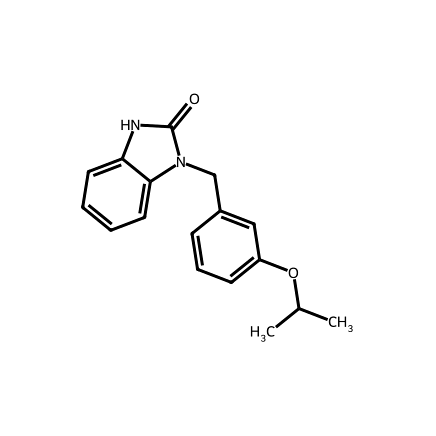 CC(C)Oc1cccc(Cn2c(=O)[nH]c3ccccc32)c1